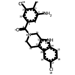 Cc1c(N)cc(C(=O)N2CCc3c([nH]c4ccc(Cl)cc34)C2)cc1Cl